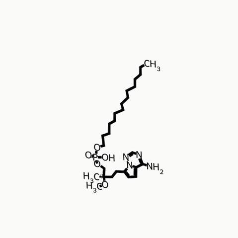 CCCCCCCCCCCCCCCOP(=O)(O)OC[C@](C)(CCc1ccc2c(N)ncnn12)OC